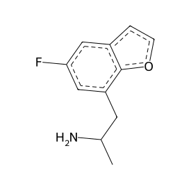 CC(N)Cc1cc(F)cc2ccoc12